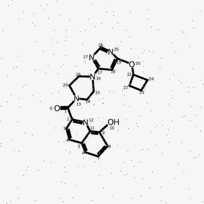 O=C(c1ccc2cccc(O)c2n1)N1CCN(c2cc(OC3CCC3)ncn2)CC1